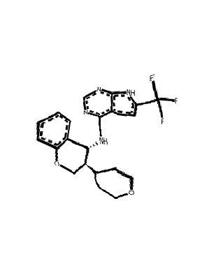 FC(F)(F)c1cc2c(N[C@H]3c4ccccc4OC[C@@H]3C3CCOCC3)ncnc2[nH]1